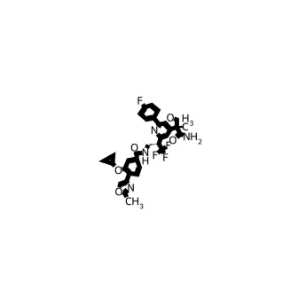 Cc1nc(-c2ccc(C(=O)NC[C@H](c3cc4c(c(-c5ccc(F)cc5)n3)OC[C@]4(C)C(N)=O)C(F)(F)F)cc2OC2CC2)co1